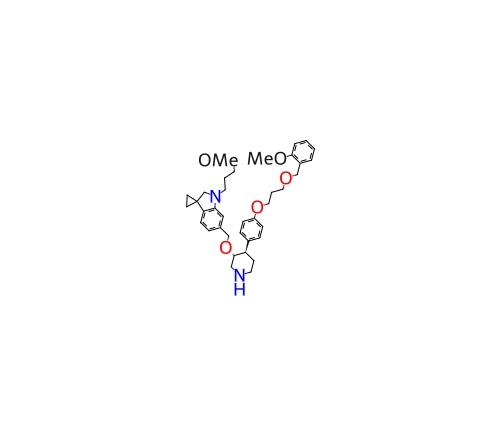 COCCCN1CC2(CC2)c2ccc(CO[C@H]3CNCC[C@@H]3c3ccc(OCCCOCc4ccccc4OC)cc3)cc21